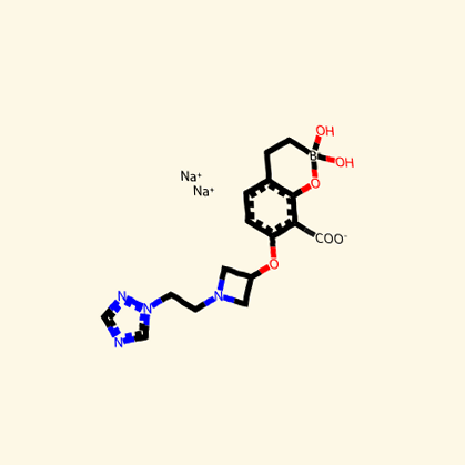 O=C([O-])c1c(OC2CN(CCn3cncn3)C2)ccc2c1O[B-](O)(O)CC2.[Na+].[Na+]